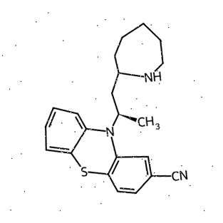 C[C@H](CC1CCCCCN1)N1c2ccccc2Sc2ccc(C#N)cc21